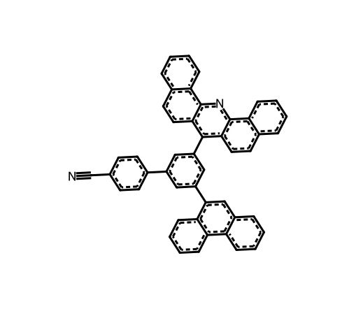 N#Cc1ccc(-c2cc(-c3cc4ccccc4c4ccccc34)cc(-c3c4ccc5ccccc5c4nc4c3ccc3ccccc34)c2)cc1